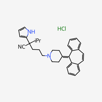 CC(C)C(C#N)(CCCN1CCC(=C2c3ccccc3C=Cc3ccccc32)CC1)c1ccc[nH]1.Cl